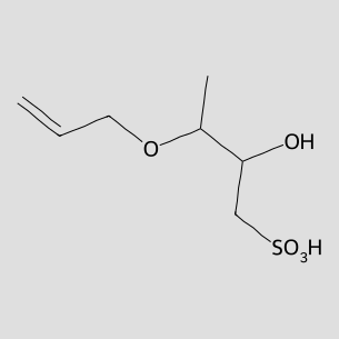 C=CCOC(C)C(O)CS(=O)(=O)O